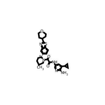 C[C@H]1CC[C@H](c2ccc3sc(C4CCOCC4)nc3c2)N(C(=O)C(=O)Nc2cnc(N)c(C3CC3)c2)C1